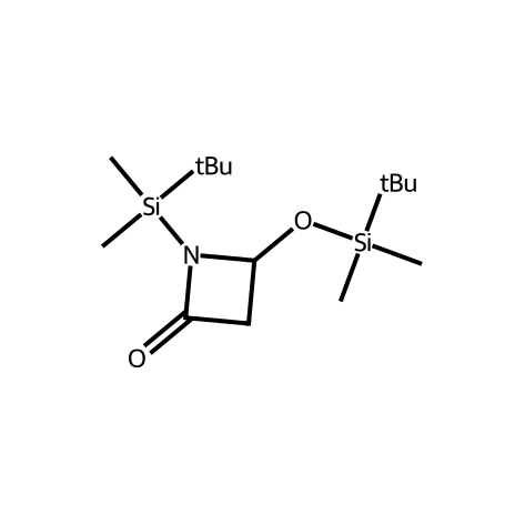 CC(C)(C)[Si](C)(C)OC1CC(=O)N1[Si](C)(C)C(C)(C)C